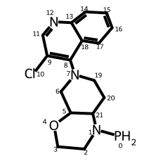 PN1CCOC2CN(c3c(Cl)cnc4ccccc34)CCC21